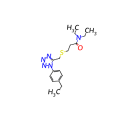 CCc1ccc(-n2nnnc2CSCCC(=O)N(CC)CC)cc1